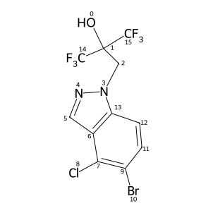 OC(Cn1ncc2c(Cl)c(Br)ccc21)(C(F)(F)F)C(F)(F)F